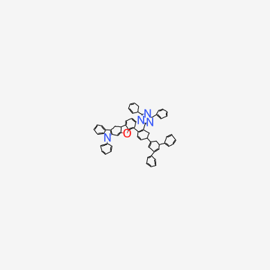 C1=CCC(c2nc(C3=C(c4cccc5c4OC4=Cc6c(c7ccccc7n6-c6ccccc6)CC45)C=CC(C4=CC(c5ccccc5)=CC(c5ccccc5)C4)C3)nc(-c3ccccc3)n2)C=C1